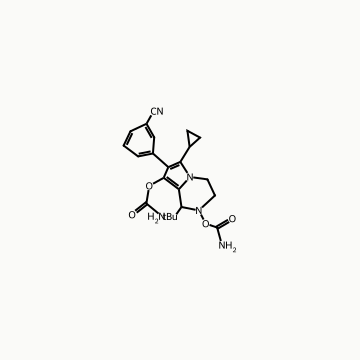 CC(C)(C)C1c2c(OC(N)=O)c(-c3cccc(C#N)c3)c(C3CC3)n2CCN1OC(N)=O